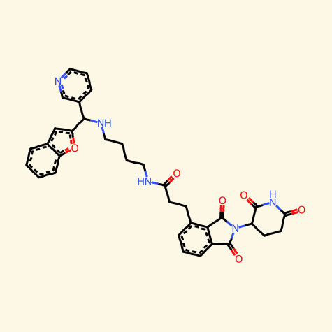 O=C(CCc1cccc2c1C(=O)N(C1CCC(=O)NC1=O)C2=O)NCCCCNC(c1cccnc1)c1cc2ccccc2o1